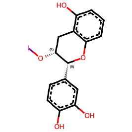 Oc1ccc([C@H]2Oc3cccc(O)c3C[C@H]2OI)cc1O